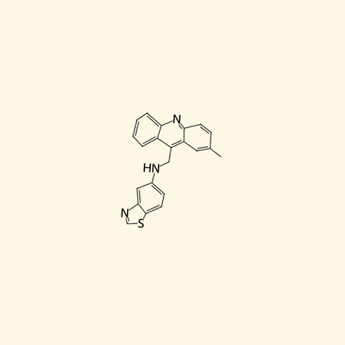 Cc1ccc2nc3ccccc3c(CNc3ccc4scnc4c3)c2c1